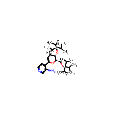 CC(C)[Si](OC[C@H]1OC(c2ccncc2N)=C[C@@H](C)[C@@H]1O[Si](C(C)C)(C(C)C)C(C)C)(C(C)C)C(C)C